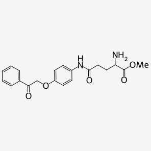 COC(=O)C(N)CCC(=O)Nc1ccc(OCC(=O)c2ccccc2)cc1